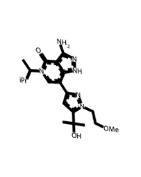 COCCn1nc(-c2cn(C(C)C(C)C)c(=O)c3c(N)n[nH]c23)cc1C(C)(C)O